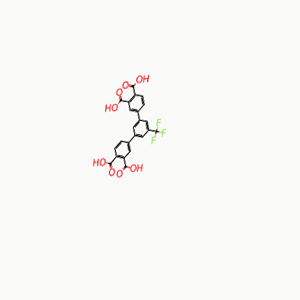 O=C(O)c1ccc(-c2cc(-c3ccc(C(=O)O)c(C(=O)O)c3)cc(C(F)(F)F)c2)cc1C(=O)O